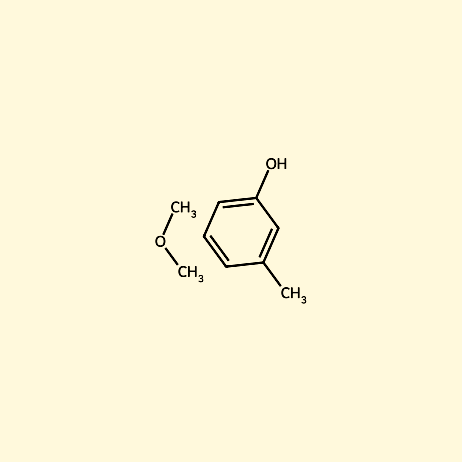 COC.Cc1cccc(O)c1